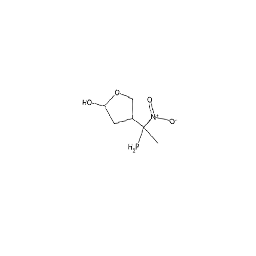 CC(P)(C1COC(O)C1)[N+](=O)[O-]